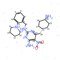 Nc1nc(NCc2ccccc2N2CCCCC2)nc(C[C@H]2CC[C@H](N)CC2)c1[N+](=O)[O-]